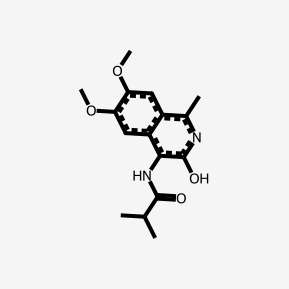 COc1cc2c(C)nc(O)c(NC(=O)C(C)C)c2cc1OC